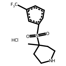 CC1(S(=O)(=O)c2cccc(C(F)(F)F)c2)CCNCC1.Cl